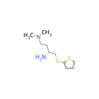 CN(C)CC[C@@H](N)CSc1cccs1